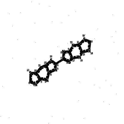 c1nc2nc3nc(-c4nc5nc6scnc6nc5s4)sc3cc2s1